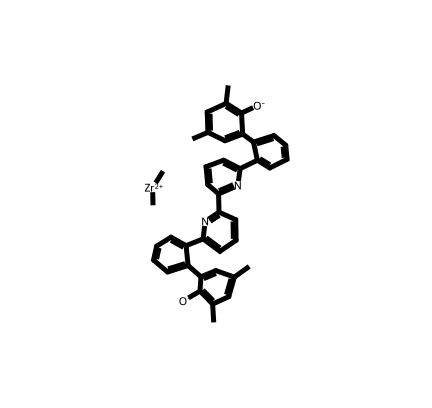 Cc1cc(C)c([O-])c(-c2ccccc2-c2cccc(-c3cccc(-c4ccccc4-c4cc(C)cc(C)c4[O-])n3)n2)c1.[CH3][Zr+2][CH3]